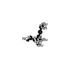 CC(C)(C)OC(=O)NC(CF)c1ccc(-c2cc(-c3nc(-c4ccnc(C(C)(C)C#N)c4)cnc3N(C(=O)OC(C)(C)C)C(=O)OC(C)(C)C)on2)cc1